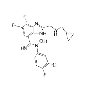 N=C(c1cc(F)c(F)c2nc(CNCC3CC3)[nH]c12)N(O)c1ccc(F)c(Cl)c1